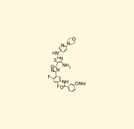 COc1cccc(C(=O)Nc2cc(-c3noc(-c4sc(Nc5ccc(N6CCOCC6)nc5)nc4N)n3)c(F)cc2F)c1